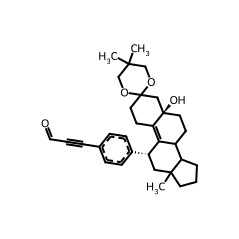 CC1(C)COC2(CCC3=C4C(CC[C@@]3(O)C2)C2CCCC2(C)C[C@@H]4c2ccc(C#CC=O)cc2)OC1